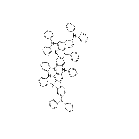 CC1(C)c2cc(N(c3ccccc3)c3ccccc3)ccc2-c2cc3c4c(c21)N(c1ccccc1)c1ccccc1B4c1cc2c(cc1N3c1ccccc1)N(c1ccccc1)c1c3c(cc4cc(N(c5ccccc5)c5ccccc5)ccc14)N(c1ccccc1)c1ccccc1B23